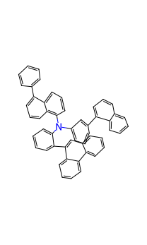 c1ccc(-c2cccc3c(N(c4cccc(-c5cccc6ccccc56)c4)c4ccccc4-c4cc5ccccc5c5ccccc45)cccc23)cc1